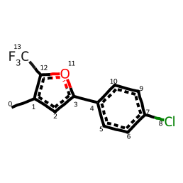 Cc1cc(-c2ccc(Cl)cc2)oc1C(F)(F)F